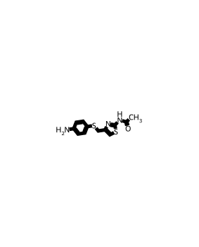 CC(=O)Nc1nc(CSc2ccc(N)cc2)cs1